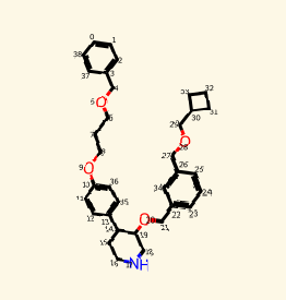 c1ccc(COCCCOc2ccc(C3CCNCC3OCc3cccc(COCC4CCC4)c3)cc2)cc1